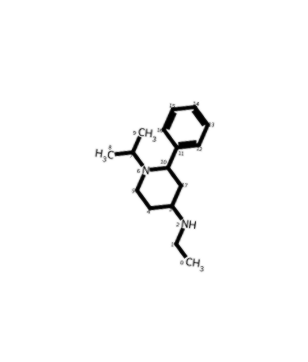 CCNC1CCN(C(C)C)C(c2ccccc2)C1